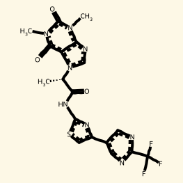 C[C@@H](C(=O)Nc1nc(-c2cnc(C(F)(F)F)nc2)cs1)n1cnc2c1c(=O)n(C)c(=O)n2C